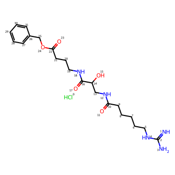 Cl.N=C(N)NCCCCCC(=O)NCC(O)C(=O)NCCCC(=O)OCc1ccccc1